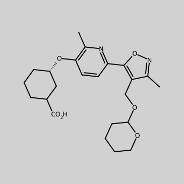 Cc1nc(-c2onc(C)c2COC2CCCCO2)ccc1O[C@H]1CCCC(C(=O)O)C1